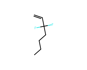 C=CC(F)(F)CCCC